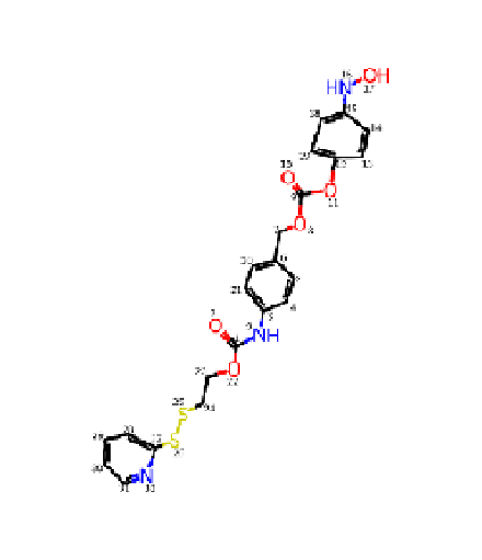 O=C(Nc1ccc(COC(=O)Oc2ccc(NO)cc2)cc1)OCCSSc1ccccn1